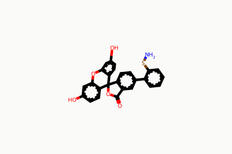 NSc1ccccc1-c1ccc2c(c1)C(=O)OC21c2ccc(O)cc2Oc2cc(O)ccc21